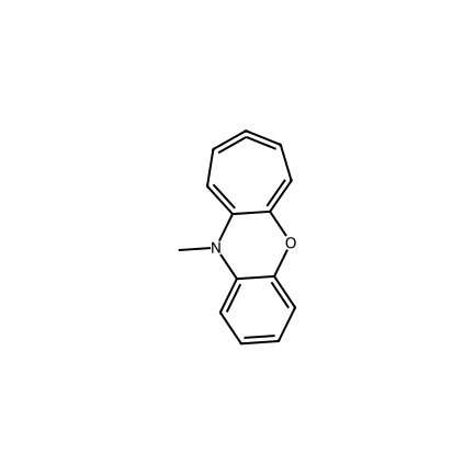 CN1C2=CC=C=CC=C2Oc2ccccc21